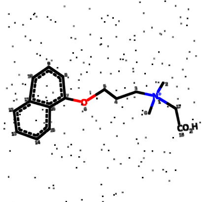 C[N+](C)(CCCOc1cccc2ccccc12)CC(=O)O